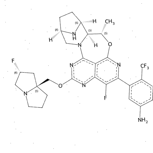 C[C@@H]1Oc2nc(-c3cc(N)ccc3C(F)(F)F)c(F)c3nc(OC[C@@]45CCCN4C[C@H](F)C5)nc(c23)N2C[C@H]3CC[C@H](N3)[C@@H]12